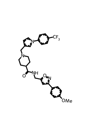 COc1ccc(-c2cc(CNC(=O)C3CCN(Cc4ccn(-c5ccc(C(F)(F)F)cc5)c4)CC3)on2)cc1